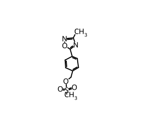 Cc1noc(-c2ccc(COS(C)(=O)=O)cc2)n1